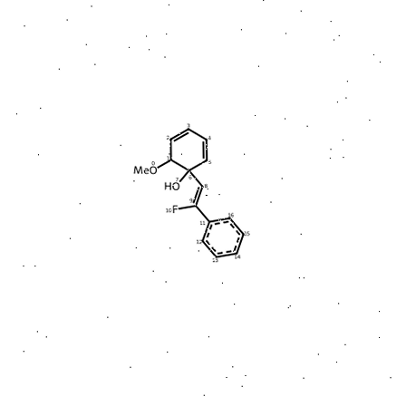 COC1C=CC=CC1(O)/C=C(\F)c1ccccc1